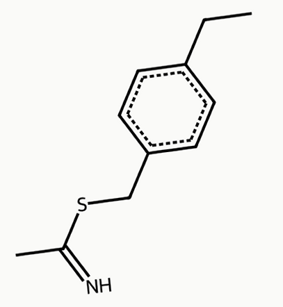 CCc1ccc(CSC(C)=N)cc1